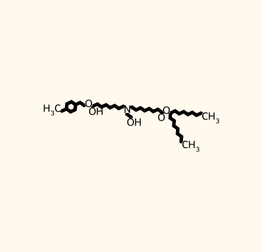 CCCCCCCCC(CCCCCCCC)OC(=O)CCCCCCCN(CCO)CCCCCCCC(O)OCCC1CCC(CC)CC1